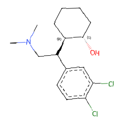 CN(C)CC(c1ccc(Cl)c(Cl)c1)[C@H]1CCCC[C@@H]1O